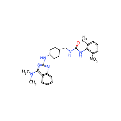 Cc1cccc([N+](=O)[O-])c1NC(=O)NC[C@H]1CC[C@@H](Nc2nc(N(C)C)c3ccccc3n2)CC1